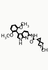 COc1cccc(OC)c1-c1c[nH]c2nc(NC(=O)[C@@H]3CC34CN(C)C4)ccc12